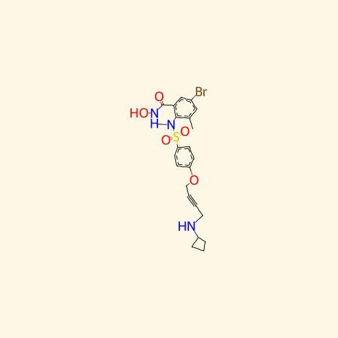 Cc1cc(Br)cc(C(=O)NO)c1N(C)S(=O)(=O)c1ccc(OCC#CCNC2CCC2)cc1